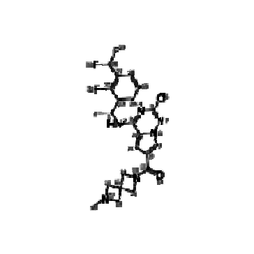 C[C@@H](Nc1nc(Cl)nn2cc(C(=O)N3CC4(CN(C)C4)C3)cc12)c1cccc(C(F)F)c1F